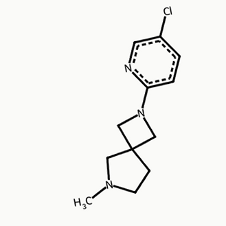 CN1CCC2(C1)CN(c1ccc(Cl)cn1)C2